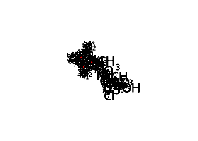 Cc1cc(-c2cc(Cl)ccc2OCCn2c(C)nc3c(c2=O)CC(N(C)C2CN(CC(c4cccc5c4Cc4ccccc4-5)(c4cccc5c4Cc4ccccc4-5)c4cccc5c4Cc4ccccc4-5)C2)CC3)c2scc(C(=O)O)c2n1